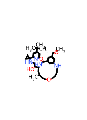 COCc1cc2cc(c1)C(=O)NC(C(O)CNC1(c3cc(C(C)(C)C)ccn3)CC1)CC(C)CCOCCCCN2